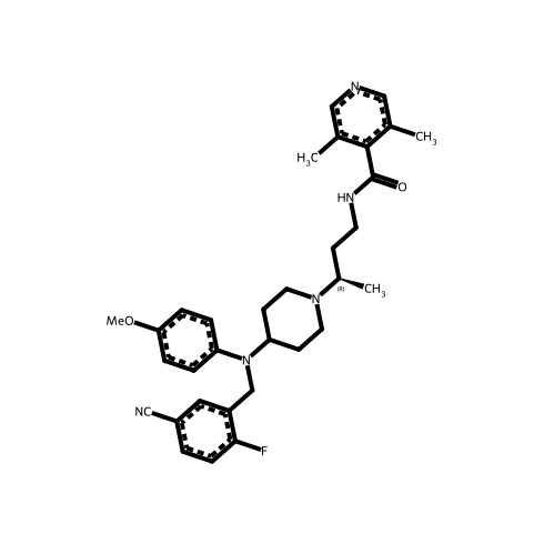 COc1ccc(N(Cc2cc(C#N)ccc2F)C2CCN([C@H](C)CCNC(=O)c3c(C)cncc3C)CC2)cc1